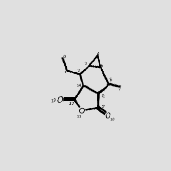 CCC1C2CC2C(C)C2C(=O)OC(=O)C12